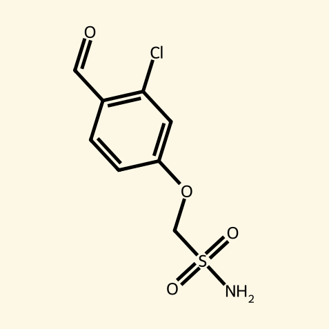 NS(=O)(=O)COc1ccc(C=O)c(Cl)c1